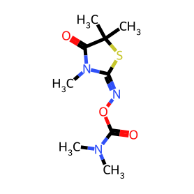 CN(C)C(=O)ON=C1SC(C)(C)C(=O)N1C